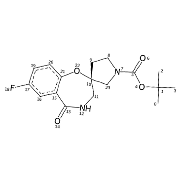 CC(C)(C)OC(=O)N1CC[C@]2(CNC(=O)c3cc(F)ccc3O2)C1